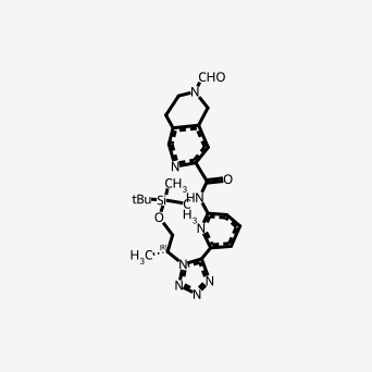 C[C@H](CO[Si](C)(C)C(C)(C)C)n1nnnc1-c1cccc(NC(=O)c2cc3c(cn2)CCN(C=O)C3)n1